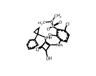 CN(C)S(=O)(=O)c1c(Cl)ccc(NC2=C(NC3(c4ccccc4)CC3)C(=O)C2O)c1O